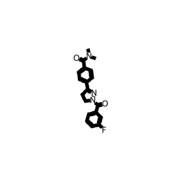 CN(C)C(=O)c1ccc(C2=NN(C(=O)c3cccc(F)c3)CC2)cc1